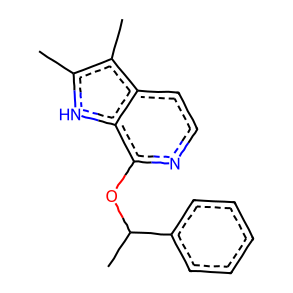 Cc1[nH]c2c(OC(C)c3ccccc3)nccc2c1C